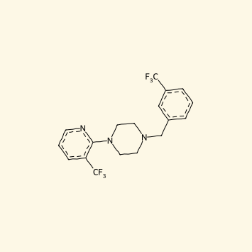 FC(F)(F)c1cccc(CN2CCN(c3ncccc3C(F)(F)F)CC2)c1